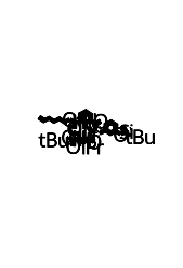 C=CCCCCOC(=O)[C@@H]1CCCN(C(=O)[C@H](Cc2cccc(O[Si](C)(C)C(C)(C)C)c2)NC(=O)[C@@H](NC(=O)OC(C)(C)C)C(C)C)N1